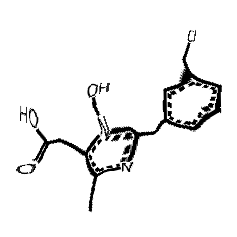 Cc1nc(-c2cccc(Cl)c2)n(O)c1C(=O)O